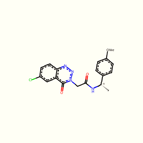 COc1ccc([C@H](C)NC(=O)Cn2nnc3ccc(Cl)cc3c2=O)cc1